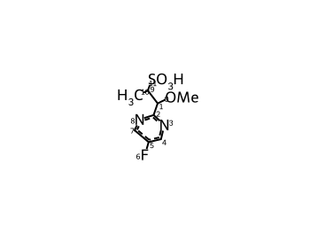 COC(c1ncc(F)cn1)C(C)S(=O)(=O)O